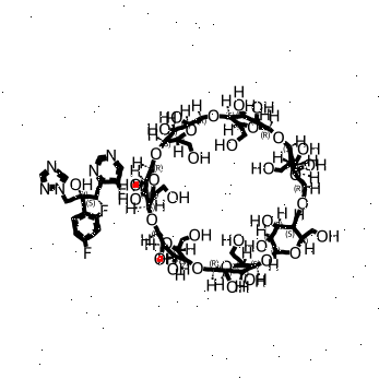 C[C@@H](c1ncncc1F)[C@](O)(Cn1cncn1)c1ccc(F)cc1F.OC[C@H]1O[C@@H]2O[C@H]3[C@H](O)[C@@H](O)[C@@H](O[C@H]4[C@H](O)[C@@H](O)[C@@H](O[C@H]5[C@H](O)[C@@H](O)[C@@H](O[C@H]6[C@H](O)[C@@H](O)[C@@H](O[C@H]7[C@H](O)[C@@H](O)[C@@H](O[C@H]8[C@H](O)[C@@H](O)[C@@H](O[C@H]1[C@H](O)[C@H]2O)O[C@@H]8CO)O[C@@H]7CO)O[C@@H]6CO)O[C@@H]5CO)O[C@@H]4CO)O[C@@H]3CO